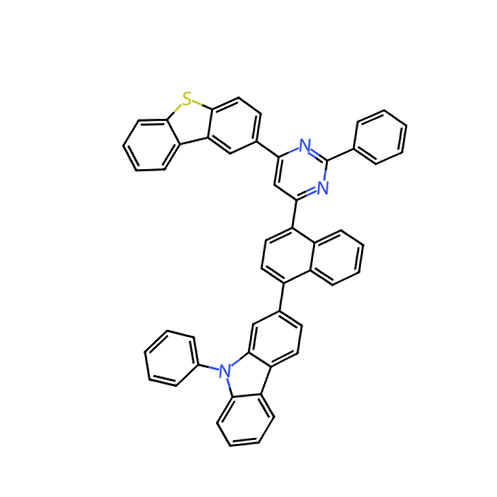 c1ccc(-c2nc(-c3ccc4sc5ccccc5c4c3)cc(-c3ccc(-c4ccc5c6ccccc6n(-c6ccccc6)c5c4)c4ccccc34)n2)cc1